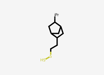 CC(C)C1CC2CC1CC2CCSS